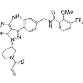 C=CC(=O)N1CCC[C@@H](n2nc(-c3ccc(CNC(=O)c4cccc(C(F)(F)F)c4OC)cc3)c3c(N)ncnc32)C1